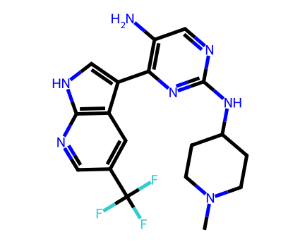 CN1CCC(Nc2ncc(N)c(-c3c[nH]c4ncc(C(F)(F)F)cc34)n2)CC1